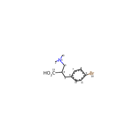 CN(C)CC(Cc1ccc(Br)cc1)C(=O)O